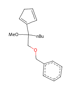 CCCCC(COCc1ccccc1)(OC)C1=CCC=C1